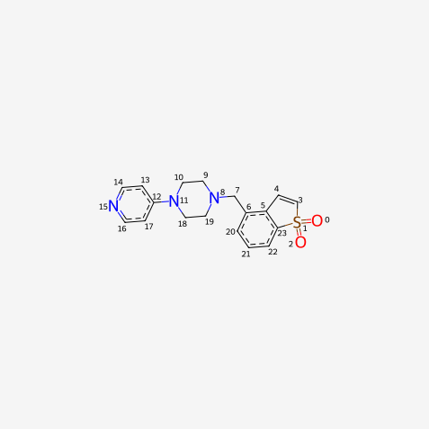 O=S1(=O)C=Cc2c(CN3CCN(c4ccncc4)CC3)cccc21